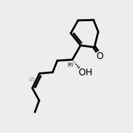 CC/C=C\CC[C@@H](O)C1=CCCCC1=O